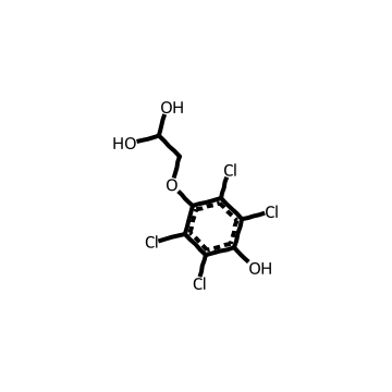 Oc1c(Cl)c(Cl)c(OCC(O)O)c(Cl)c1Cl